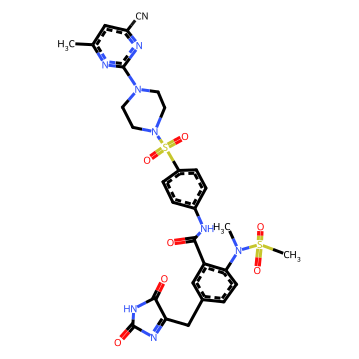 Cc1cc(C#N)nc(N2CCN(S(=O)(=O)c3ccc(NC(=O)c4cc(CC5=NC(=O)NC5=O)ccc4N(C)S(C)(=O)=O)cc3)CC2)n1